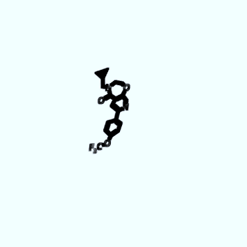 O=C1c2cc(-c3ccc(OC(F)(F)F)cc3)ncc2OCCN1CC1CC1